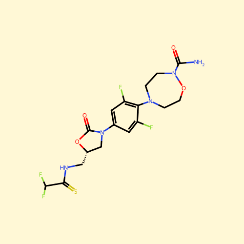 NC(=O)N1CCN(c2c(F)cc(N3C[C@H](CNC(=S)C(F)F)OC3=O)cc2F)CCO1